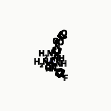 N=C(Nc1ccc(F)cc1)/C(=C\N[C@@H]1CCN(C(=O)OC2CCOC2)C[C@H]1N)C(N)=O